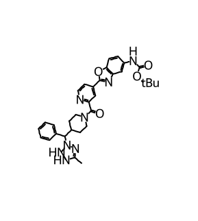 CC1=NN(C(c2ccccc2)C2CCN(C(=O)c3cc(-c4nc5cc(NC(=O)OC(C)(C)C)ccc5o4)ccn3)CC2)NN1